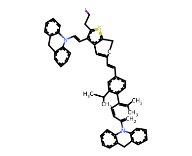 C=C(/C=C\C(=C(C)C)c1ccc(/C=C/C2=Cc3c(sc(CCI)c3/C=C/N3c4ccccc4Cc4ccccc43)CC2)cc1C(C)C)N1c2ccccc2Cc2ccccc21